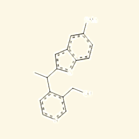 COc1ccc2oc(C(C)c3ccncc3CO)cc2c1